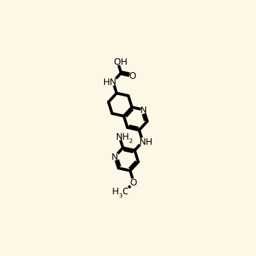 COc1cnc(N)c(Nc2cnc3c(c2)CCC(NC(=O)O)C3)c1